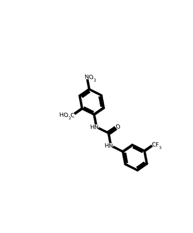 O=C(Nc1cccc(C(F)(F)F)c1)Nc1ccc([N+](=O)[O-])cc1C(=O)O